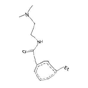 CCc1cccc(C(=O)NCCN(C)C)c1